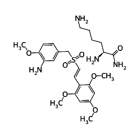 COc1cc(OC)c(/C=C/S(=O)(=O)Cc2ccc(OC)c(N)c2)c(OC)c1.NCCCC[C@H](N)C(N)=O